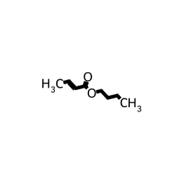 CC=CC(=O)OCCCC